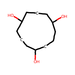 OC1CCCC(O)CCCC(O)CCC1